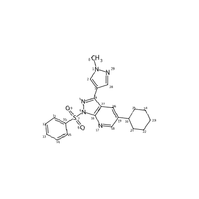 Cn1cc(-c2nn(S(=O)(=O)c3ccccc3)c3ncc(C4CCCCC4)cc23)cn1